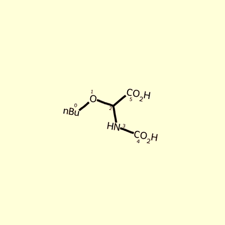 CCCCOC(NC(=O)O)C(=O)O